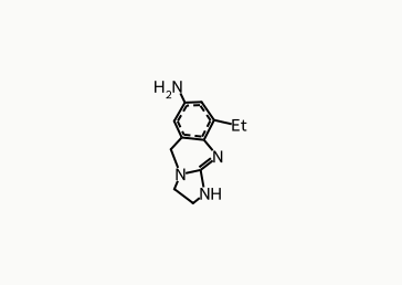 CCc1cc(N)cc2c1N=C1NCCN1C2